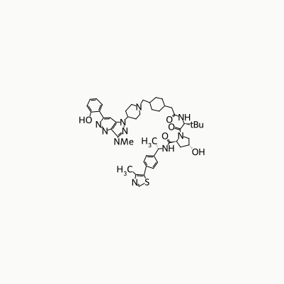 CNc1nn(C2CCN(CC3CCC(CC(=O)N[C@H](C(=O)N4C[C@H](O)C[C@H]4C(=O)N[C@@H](C)c4ccc(-c5scnc5C)cc4)C(C)(C)C)CC3)CC2)c2cc(-c3ccccc3O)nnc12